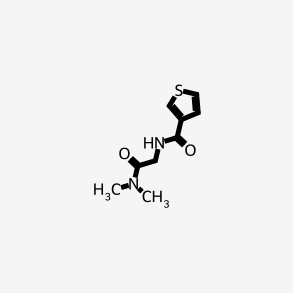 CN(C)C(=O)CNC(=O)c1ccsc1